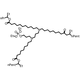 CCCCCC(CC)CC(=O)CCCCCCCCN(CCCCCCCCCCC(=O)OC(CC)CCC)CCCN(CCCCCCCCC(=O)OC(CC)CCCCC)CCCOP(=O)(OCC)OCC